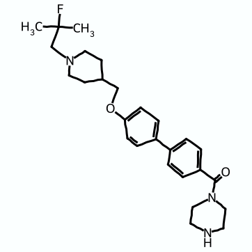 CC(C)(F)CN1CCC(COc2ccc(-c3ccc(C(=O)N4CCNCC4)cc3)cc2)CC1